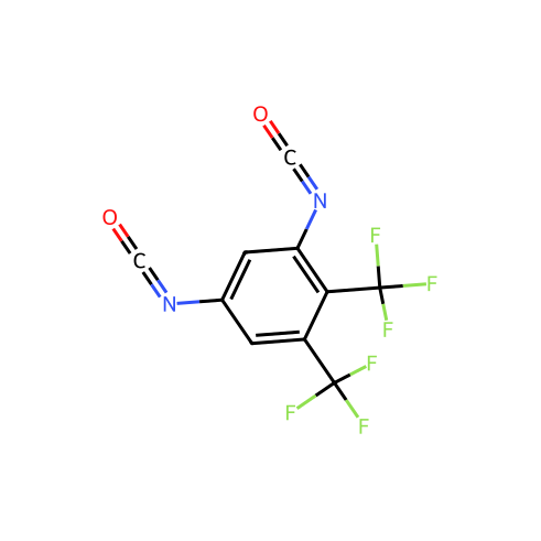 O=C=Nc1cc(N=C=O)c(C(F)(F)F)c(C(F)(F)F)c1